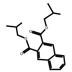 CC(C)COC(=O)c1cc2ccccc2cc1C(=O)OCC(C)C